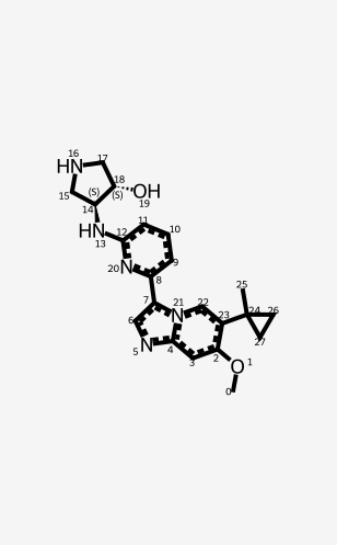 COc1cc2ncc(-c3cccc(N[C@H]4CNC[C@@H]4O)n3)n2cc1C1(C)CC1